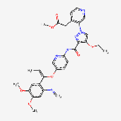 C=Nc1cc(OC)c(OC)cc1/C(=C\C)Oc1ccc(NC(=O)c2nn(-c3cnccc3CC(=O)OC)cc2OCC)nc1